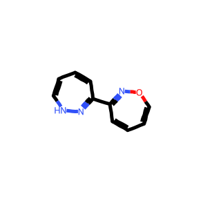 C1=CNN=C(C2=NOC=CC=C2)C=C1